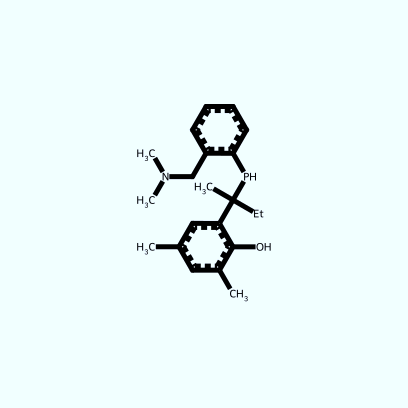 CCC(C)(Pc1ccccc1CN(C)C)c1cc(C)cc(C)c1O